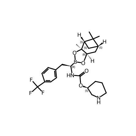 CC1(C)[C@@H]2C[C@H]3OB([C@H](Cc4ccc(C(F)(F)F)cc4)NC(=O)O[C@H]4CCCNC4)O[C@@]3(C)[C@H]1C2